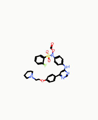 O=CON(c1ccc(Nc2cc(-c3ccc(OCCN4CCCC4)cc3)ncn2)cc1)S(=O)(=O)c1ccccc1F